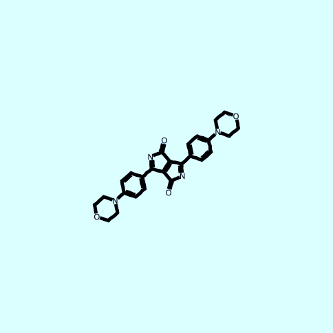 O=c1nc(-c2ccc(N3CCOCC3)cc2)c2c(=O)nc(-c3ccc(N4CCOCC4)cc3)c1=2